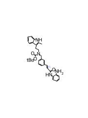 Cc1[nH]c2ccccc2c1CCN(Cc1cccc(/C=C/C(=O)Nc2ccccc2N)c1)C(=O)OC(C)(C)C